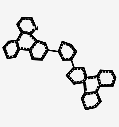 c1cc(-c2ccc3c4ccccc4c4ccccc4c3c2)cc(-c2ccc3c4ccccc4c4cccnc4c3c2)c1